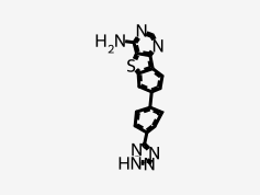 Nc1ncnc2c1sc1cc(-c3ccc(-c4nn[nH]n4)cc3)ccc12